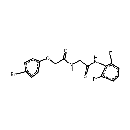 O=C(COc1ccc(Br)cc1)NCC(=S)Nc1c(F)cccc1F